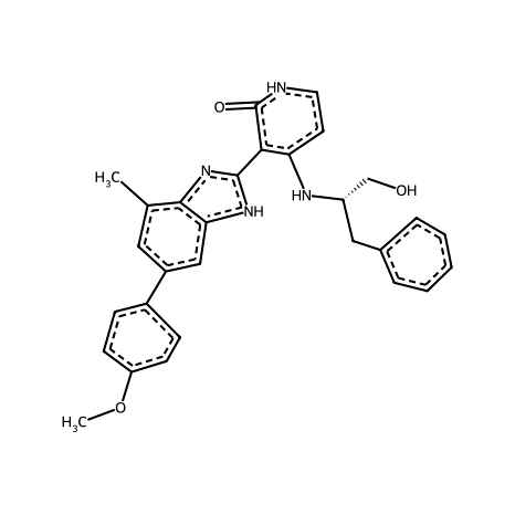 COc1ccc(-c2cc(C)c3nc(-c4c(N[C@H](CO)Cc5ccccc5)cc[nH]c4=O)[nH]c3c2)cc1